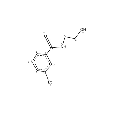 CCc1cncc(C(=O)NCCO)c1